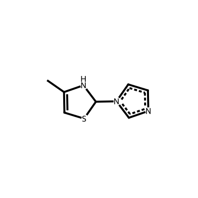 CC1=CSC(n2ccnc2)N1